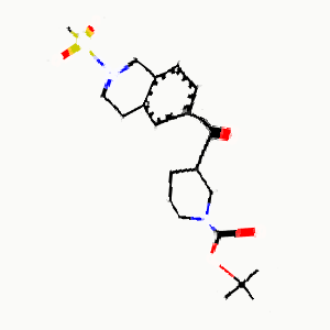 CC(C)(C)OC(=O)N1CCCC(C(=O)c2ccc3c(c2)CCN(S(C)(=O)=O)C3)C1